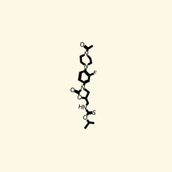 CC(=O)N1CCN(c2ccc(N3CC(CNC(=S)OC(C)C)OC3=O)cc2F)CC1